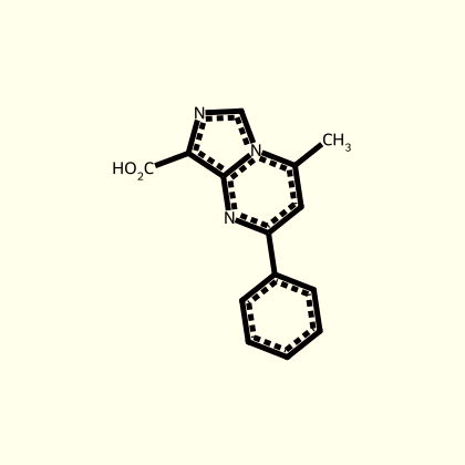 Cc1cc(-c2ccccc2)nc2c(C(=O)O)ncn12